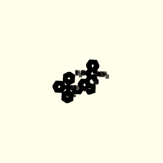 Cc1c(-c2ccc(C[C@H](NC(c3ccccc3)(c3ccccc3)c3ccccc3)C(=O)O)n3ccnc23)c(=O)n(C)c2ccccc12